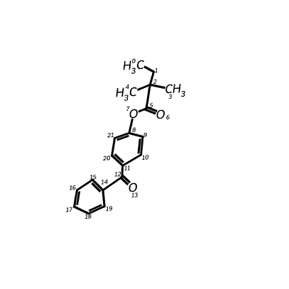 CCC(C)(C)C(=O)Oc1ccc(C(=O)c2ccccc2)cc1